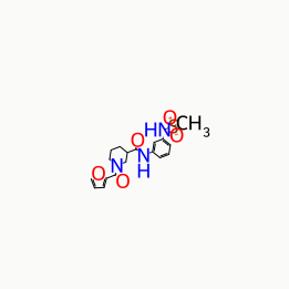 CS(=O)(=O)Nc1cccc(NC(=O)C2CCCN(C(=O)c3ccco3)C2)c1